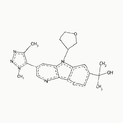 Cc1nnn(C)c1-c1cnc2c3ccc(C(C)(C)O)cc3n(C3CCOC3)c2c1